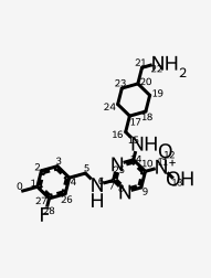 Cc1ccc(CNc2ncc([N+](=O)O)c(NCC3CCC(CN)CC3)n2)cc1F